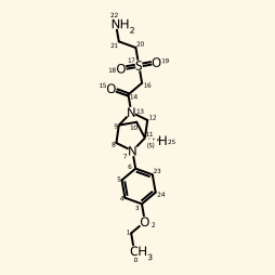 CCOc1ccc(N2CC3C[C@H]2CN3C(=O)CS(=O)(=O)CCN)cc1